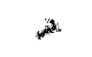 Cc1c(N2C(=O)c3ccc(C(c4ccc5c(c4)C(=O)NC5=O)(C(F)(F)F)C(F)(F)F)cc3C2=O)c(C)c(S(=O)(=O)Nc2ccc(C(F)(F)F)cc2)c(C)c1C(C)(C)C